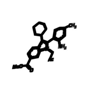 COC(=O)c1ccc2c(C3CCCCC3)c(-c3ccc(C)cc3N)n(CC(C)=O)c2c1